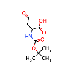 CC(C)(C)OC(=O)NC(CC=O)C(=O)O